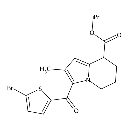 Cc1cc2n(c1C(=O)c1ccc(Br)s1)CCCC2C(=O)OC(C)C